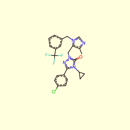 Cc1ncn(Cc2cccc(C(F)(F)F)c2)c1Cn1nc(-c2ccc(Cl)cc2)n(C2CC2)c1=O